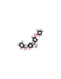 CO[SiH](c1ccc(Oc2ccccc2)cc1)c1ccc(Oc2ccccc2)cc1